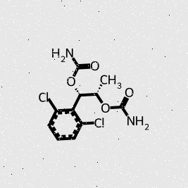 C[C@H](OC(N)=O)[C@@H](OC(N)=O)c1c(Cl)cccc1Cl